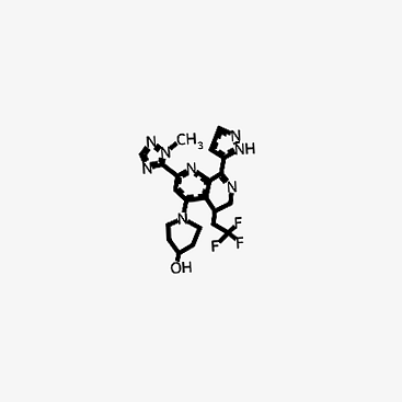 Cn1ncnc1-c1cc(N2CCC(O)CC2)c2c(n1)C(c1ccn[nH]1)=NCC2CC(F)(F)F